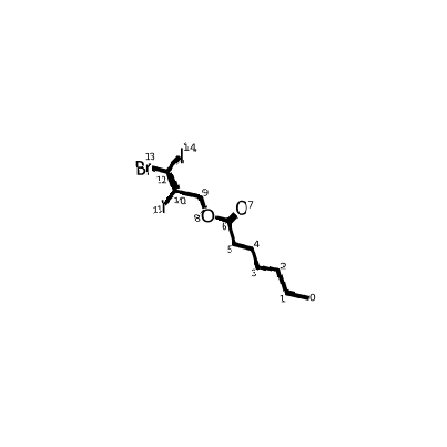 CCCCCCC(=O)OCC(I)=C(Br)I